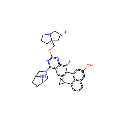 Oc1cc(-c2c(F)cc3c(N4CC5CCC(C4)N5)nc(OC[C@@]45CCCN4C[C@H](F)C5)nc3c2F)c2c(C3CC3)cccc2c1